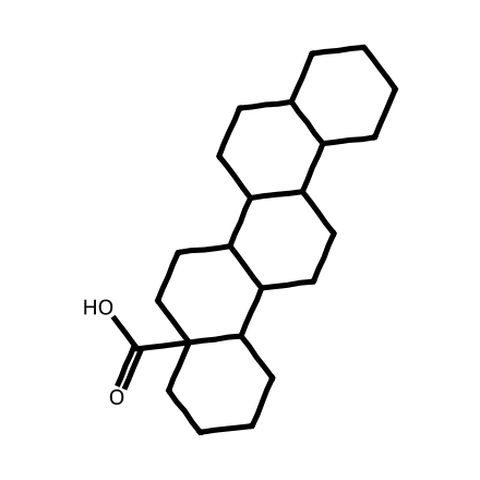 O=C(O)C12CCCCC1C1CCC3C4CCCCC4CCC3C1CC2